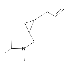 C=CCC1CC1CN(C)C(C)C